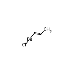 CC=[CH][Be][Cl]